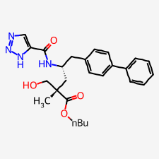 CCCCOC(=O)[C@](C)(CO)C[C@@H](Cc1ccc(-c2ccccc2)cc1)NC(=O)c1cnn[nH]1